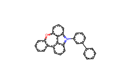 c1ccc(-c2cccc(-n3c4cccc5oc6ccccc6c6cccc3c6c54)c2)cc1